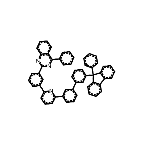 c1ccc(-c2nc(-c3cccc(-c4cccc(-c5cccc(-c6cccc(C7(c8ccccc8)c8ccccc8-c8ccccc87)c6)c5)n4)c3)nc3ccccc23)cc1